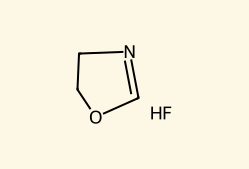 C1=NCCO1.F